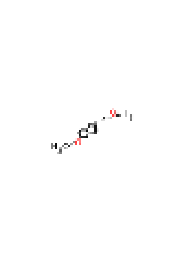 CCCOc1ccc2cc(CCCCOC)ccc2c1